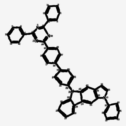 c1ccc(-c2nc(-c3ccccc3)nc(-c3ccc(-c4ccc(-n5c6ccccc6c6cc7c(ccn7-c7ccccc7)cc65)cc4)cc3)n2)cc1